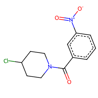 O=C(c1cccc([N+](=O)[O-])c1)N1CCC(Cl)CC1